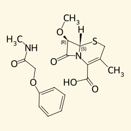 CNC(=O)COc1ccccc1.CO[C@@H]1C(=O)N2C(C(=O)O)=C(C)CS[C@@H]12